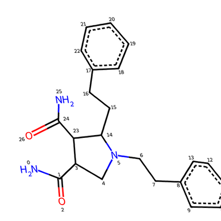 NC(=O)C1CN(CCc2ccccc2)C(CCc2ccccc2)C1C(N)=O